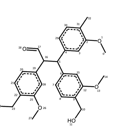 COc1cc(C(c2ccc(CO)c(OC)c2)C(C=O)c2ccc(CO)c(OC)c2)ccc1C